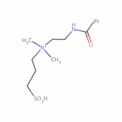 CC(C)C(=O)NCC[N+](C)(C)CCCS(=O)(=O)O